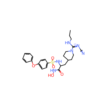 CCCN/C(=N/C#N)N1CCC(CC(NS(=O)(=O)c2ccc(Oc3ccccc3)cc2)C(=O)NO)CC1